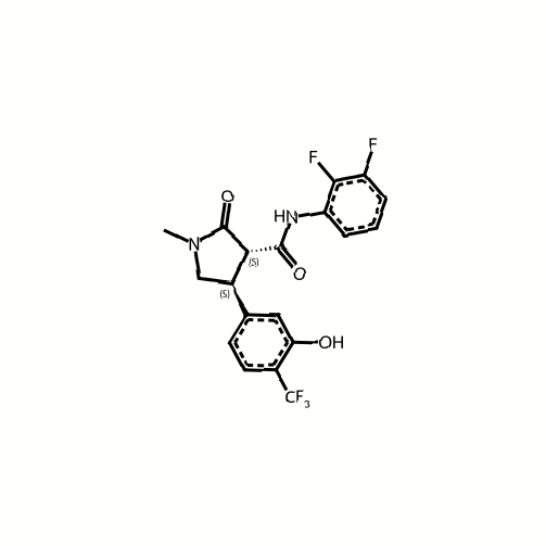 CN1C[C@H](c2ccc(C(F)(F)F)c(O)c2)[C@@H](C(=O)Nc2cccc(F)c2F)C1=O